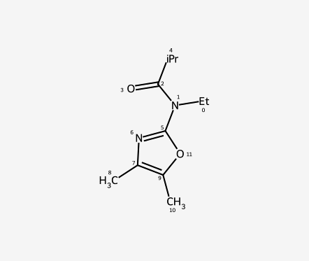 CCN(C(=O)C(C)C)c1nc(C)c(C)o1